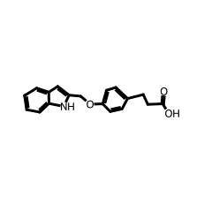 O=C(O)CCc1ccc(OCc2cc3ccccc3[nH]2)cc1